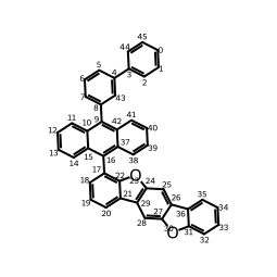 c1ccc(-c2cccc(-c3c4ccccc4c(-c4cccc5c4oc4cc6c(cc45)oc4ccccc46)c4ccccc34)c2)cc1